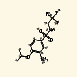 CC(C)Oc1ccc(S(=O)(=O)NCC(F)(F)F)cc1N